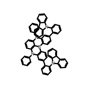 c1ccc(N2c3cc(-c4ccccc4-n4c5ccccc5c5ccccc54)ccc3B3c4ccc(-c5ccccc5-n5c6ccccc6c6ccccc65)cc4N(c4ccccc4)c4cccc2c43)cc1